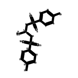 CCN(CS(=O)(=O)c1ccc(C)cc1)CS(=O)(=O)c1ccc(C)cc1